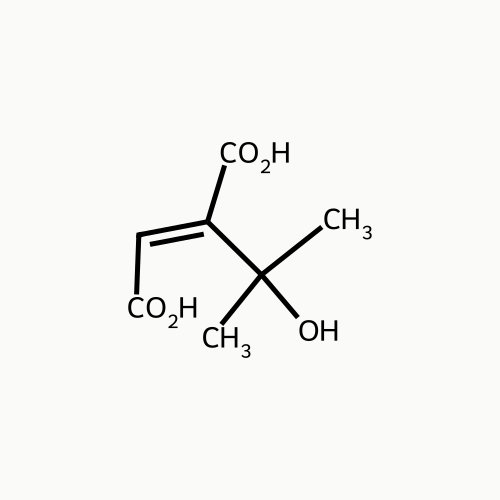 CC(C)(O)/C(=C\C(=O)O)C(=O)O